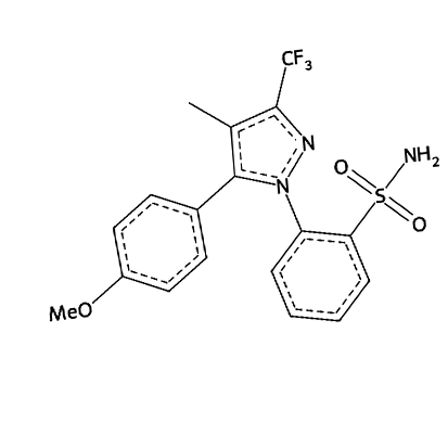 COc1ccc(-c2c(C)c(C(F)(F)F)nn2-c2ccccc2S(N)(=O)=O)cc1